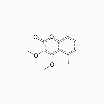 COc1c(OC)c2c(C)cccc2oc1=O